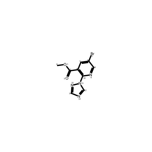 COC(=O)c1cc(Br)cnc1-n1cncn1